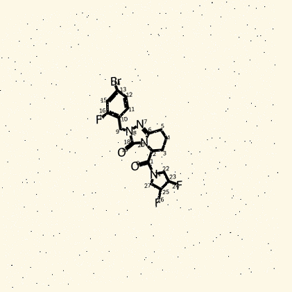 O=C(C1CCCc2nn(Cc3ccc(Br)cc3F)c(=O)n21)N1CC(F)C(F)C1